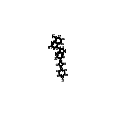 Cc1cc(-c2cnn3cc(N4CC(N5CCN(C)CC5)C4)cnc23)c2cccc(F)c2n1